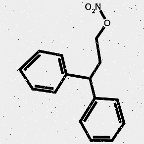 O=[N+]([O-])OCCC(c1ccccc1)c1ccccc1